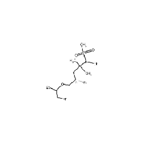 CCC(CF)OC[C@@H](CC)CC(C)(C)N(CC)S(C)(=O)=O